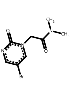 CN(C)C(=O)Cn1cc(Br)cnc1=O